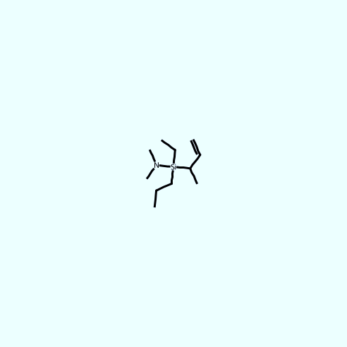 C=CC(C)[Si](CC)(CCC)N(C)C